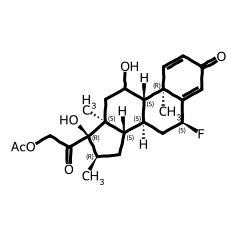 CC(=O)OCC(=O)[C@@]1(O)[C@H](C)C[C@H]2[C@@H]3C[C@H](F)C4=CC(=O)C=C[C@]4(C)[C@H]3C(O)C[C@@]21C